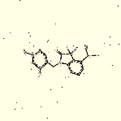 C[C@H](O)c1cccc2c1C(F)(F)C(=O)N2Cc1cc[n+]([O-])cc1Cl